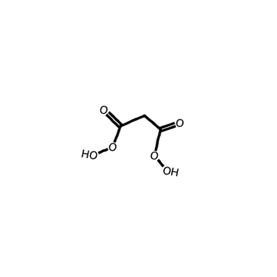 O=C(CC(=O)OO)OO